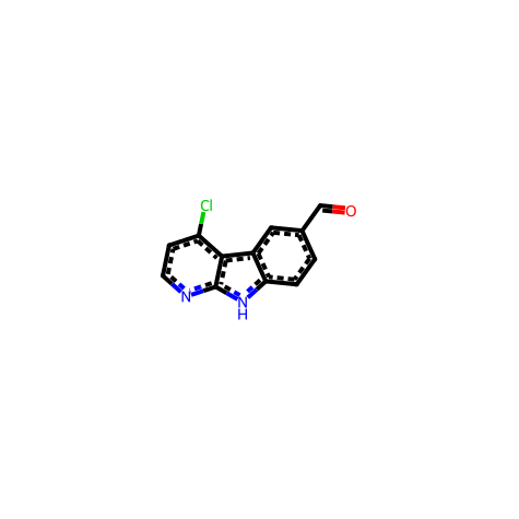 O=Cc1ccc2[nH]c3nccc(Cl)c3c2c1